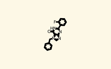 O=c1[nH]c(-c2ccccc2F)nc2ncn(Cc3ccccc3)c12